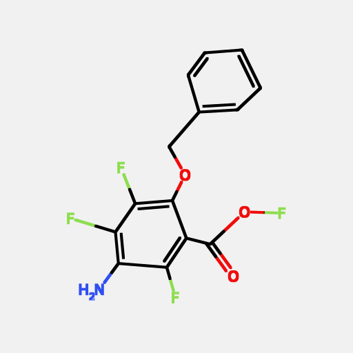 Nc1c(F)c(F)c(OCc2ccccc2)c(C(=O)OF)c1F